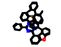 Cc1ccccc1-c1cc(-c2nc(-c3ccccc3)nc(C3CC=Cc4oc5cccc(-c6ccc7c(c6)sc6ccccc67)c5c43)n2)ccc1C